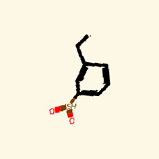 [CH2]Cc1cccc([SH](=O)=O)c1